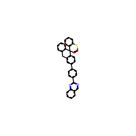 c1ccc2c(c1)Cc1cc(-c3ccc(-c4ncc5ccccc5n4)cc3)ccc1C21c2ccccc2Sc2ccccc21